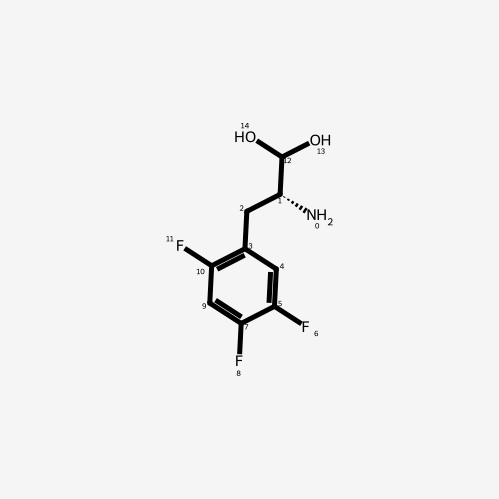 N[C@H](Cc1cc(F)c(F)cc1F)C(O)O